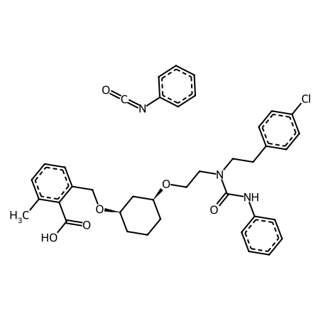 Cc1cccc(CO[C@@H]2CCC[C@H](OCCN(CCc3ccc(Cl)cc3)C(=O)Nc3ccccc3)C2)c1C(=O)O.O=C=Nc1ccccc1